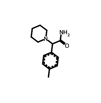 Cc1ccc(C(C(N)=O)N2CCCCC2)cc1